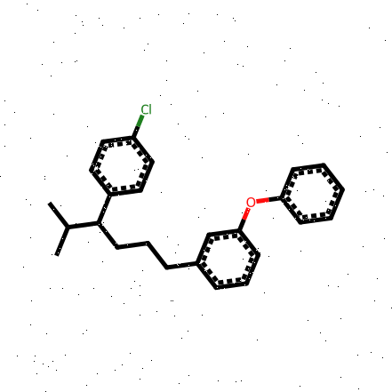 CC(C)C(CCCc1cccc(Oc2ccccc2)c1)c1ccc(Cl)cc1